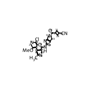 COc1cnc(Cl)cc1-c1cc(C)ncc1C(=O)Nc1nc2c(s1)CN(C(=O)C1CC(C#N)C1)C2